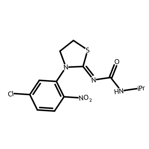 CC(C)NC(=O)N=C1SCCN1c1cc(Cl)ccc1[N+](=O)[O-]